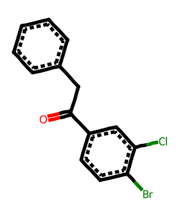 O=C(Cc1ccccc1)c1ccc(Br)c(Cl)c1